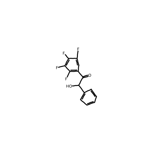 O=C(c1cc(F)c(F)c(F)c1F)C(O)c1ccccc1